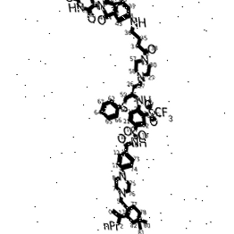 C=C(CCC)C1=C(CN2CCN(c3ccc(C(=O)NS(=O)(=O)c4ccc(N[C@H](CCN5CCN(C(=O)CCCNc6ccc7c(c6)C(=O)N(C6CCC(=O)NC6=O)C7=O)CC5)CSc5ccccc5)c(S(=O)(=O)C(F)(F)F)c4)cc3)CC2)CCC(C)(C)C1